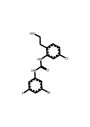 O=C(Nc1cc(F)cc(Br)c1)Nc1cc(Cl)ccc1CCO